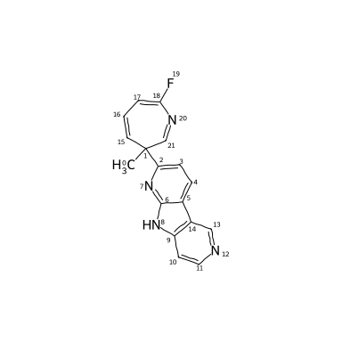 CC1(c2ccc3c(n2)[nH]c2ccncc23)C=CC=C(F)N=C1